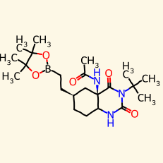 CC(=O)N[C@]12C[C@H](CCB3OC(C)(C)C(C)(C)O3)CCC1NC(=O)N(C(C)(C)C)C2=O